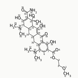 COCCOC(=O)c1cc(N(C)C)c2c(c1O)C(=O)C1=C(O)C3C(CC1C2)[C@H](N(C)C)C(O)=C(C(N)=O)[C@]3(C)O